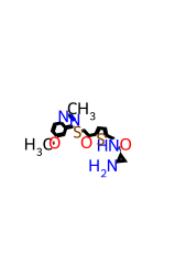 COc1ccc2nc(C)nc(SCC(=O)c3ccc(CNC(=O)[C@@H]4C[C@H]4N)s3)c2c1